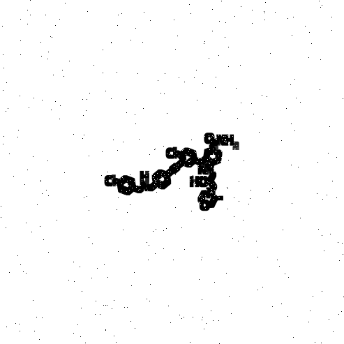 C[C@H]1COCCN1C[C@H](O)Cn1nc(-c2ccc(Cl)c(C#CC3C=CC(CNCC4=CCC(Cl)C=C4)=CC3)c2)c2c1CCN(C(N)=O)C2